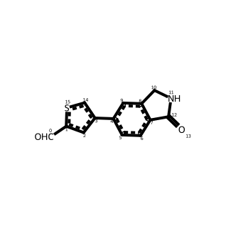 O=Cc1cc(-c2ccc3c(c2)CNC3=O)cs1